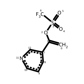 C=C(OS(=O)(=O)C(F)(F)F)c1cccnc1